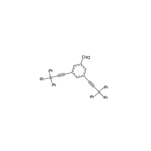 CC(C)[Si](C#Cc1cc(C#C[Si](C(C)C)(C(C)C)C(C)C)cc(C=O)c1)(C(C)C)C(C)C